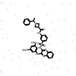 COc1cc(Nc2nc3ccccc3nc2NS(=O)(=O)c2cccc(NC(=O)C3CN(C(C)c4ccccc4)C3)c2)cc(OC)c1